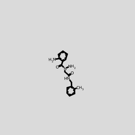 Cc1ccccc1CNC(=O)CN(N)C(=O)c1ccccc1N